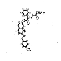 COC(=O)CCN(C(=O)Oc1ccc2cnc(CCc3ccc(C#N)cc3)nc2c1)c1ccccc1